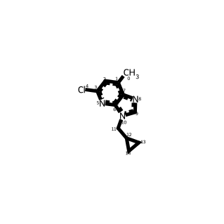 Cc1cc(Cl)nc2c1ncn2CC1CC1